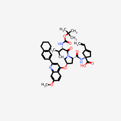 C=CC1=CC[C@](NC(=O)[C@@H]2C[C@@H](Oc3cc(-c4ccc5c(c4)CCCC5)nc4cc(OC)ccc34)CN2C(=O)[C@@H](NC(=O)OC(C)(C)C)C(C)C)(C(=O)O)C1